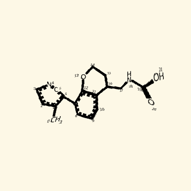 Cc1ccncc1-c1cccc2c1OCCC2CNC(=O)O